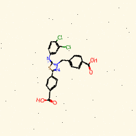 O=C(O)c1ccc(Cn2nc(-c3ccc(C(=O)O)cc3)s/c2=N/c2ccc(Cl)c(Cl)c2)cc1